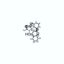 CC(=O)CC(c1ccccc1)(c1c(O)c2ccccc2oc1=O)[N+](=O)[O-]